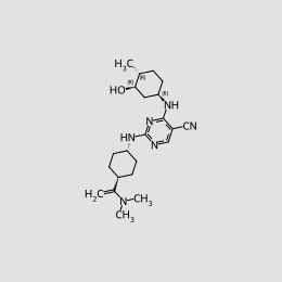 C=C([C@H]1CC[C@H](Nc2ncc(C#N)c(N[C@@H]3CC[C@@H](C)[C@H](O)C3)n2)CC1)N(C)C